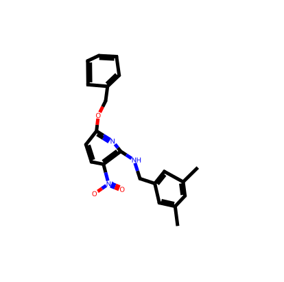 Cc1cc(C)cc(CNc2nc(OCc3ccccc3)ccc2[N+](=O)[O-])c1